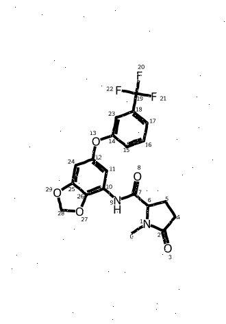 CN1C(=O)CCC1C(=O)Nc1cc(Oc2cccc(C(F)(F)F)c2)cc2c1OCO2